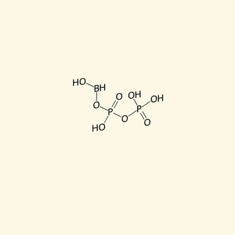 O=P(O)(O)OP(=O)(O)OBO